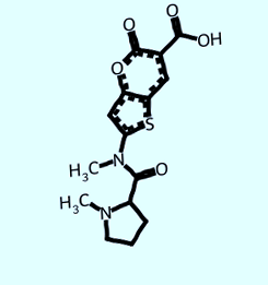 CN(C(=O)C1CCCN1C)c1cc2oc(=O)c(C(=O)O)cc2s1